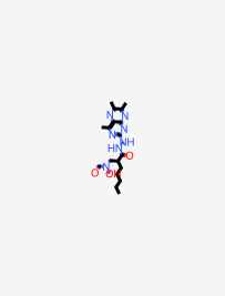 CCCCCC(CN(O)C=O)C(=O)NNc1nc(C)c2nc(C)c(C)nc2n1